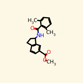 COC(=O)c1ccc2c(c1)C(NC(=O)c1c(C)cccc1C)CC2